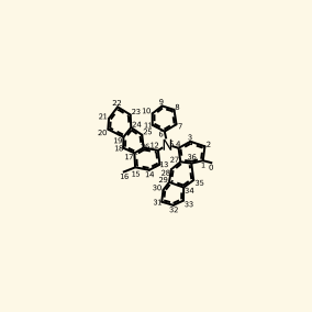 Cc1ccc(N(c2ccccc2)c2ccc(C)c3cc4ccccc4cc23)c2cc3ccccc3cc12